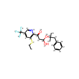 CCSc1cc(C(F)(F)F)cnc1C(=O)CC(O)OC(C)(C)Cc1ccccc1